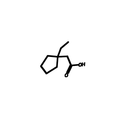 CCC1(CC(=O)O)CCCC1